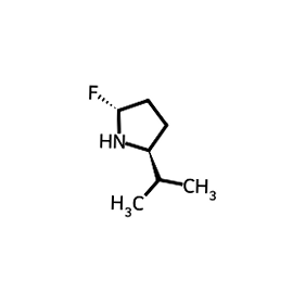 CC(C)[C@@H]1CC[C@@H](F)N1